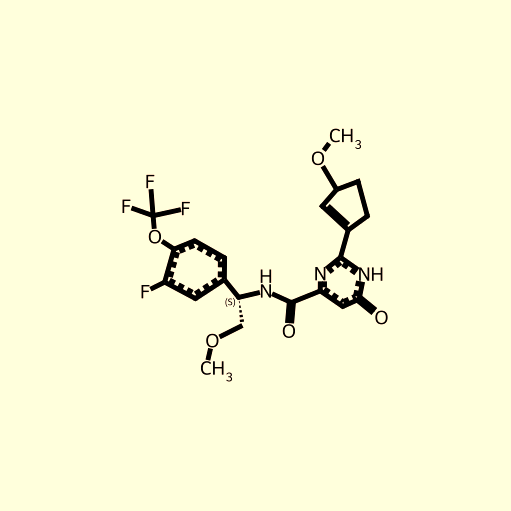 COC[C@@H](NC(=O)c1cc(=O)[nH]c(C2=CC(OC)CC2)n1)c1ccc(OC(F)(F)F)c(F)c1